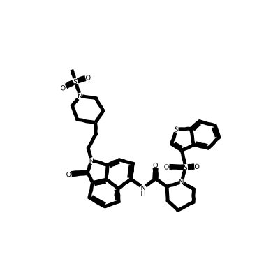 CS(=O)(=O)N1CCC(CCN2C(=O)c3cccc4c(NC(=O)C5CCCCN5S(=O)(=O)c5csc6ccccc56)ccc2c34)CC1